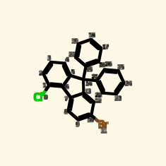 Clc1cccc2c1-c1ccc(Br)cc1C2(c1ccccc1)c1ccccc1